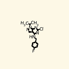 CC(C)n1ncc2c(NCc3ccc(F)cc3)nc(Cl)nc21